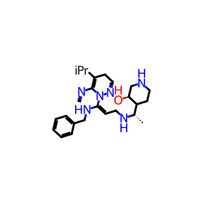 C=NC1=C(C(C)C)CC=NN1/C(=C\CN[C@@H](C)C1CCNC[C@@H]1O)NCc1ccccc1